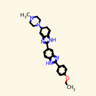 CCOc1ccc(-c2nc3cc(-c4nc5c([nH]4)=CCC(N4CCN(C)CC4)C=5)ccc3[nH]2)cc1